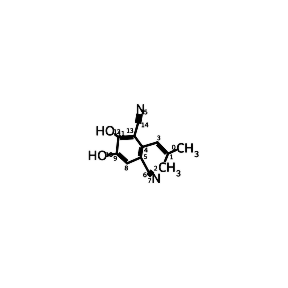 CC(C)=Cc1c(C#N)cc(O)c(O)c1C#N